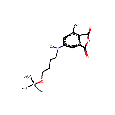 CCN(CCCCO[Si](C)(C)C(C)(C)C)c1cc(C)c2c(c1)C(=O)OC2=O